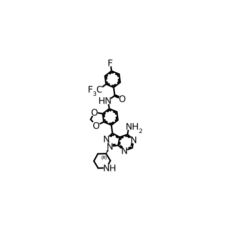 Nc1ncnc2c1c(-c1ccc(NC(=O)c3ccc(F)cc3C(F)(F)F)c3c1OCO3)nn2[C@@H]1CCCNC1